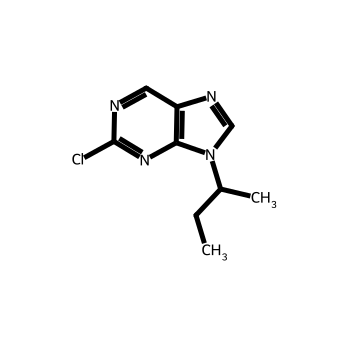 CCC(C)n1cnc2cnc(Cl)nc21